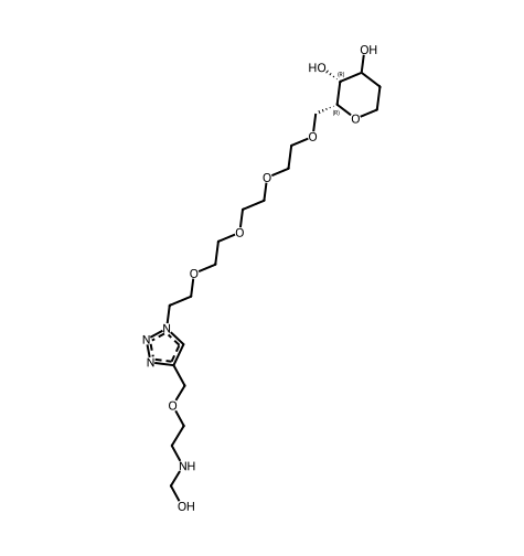 OCNCCOCc1cn(CCOCCOCCOCCOC[C@H]2OCCC(O)[C@H]2O)nn1